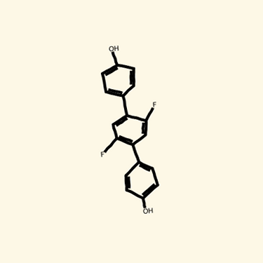 Oc1ccc(-c2cc(F)c(-c3ccc(O)cc3)cc2F)cc1